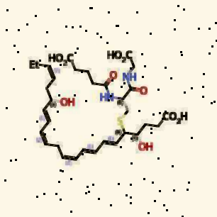 CC/C=C\C[C@H](O)/C=C/C=C\C\C=C/C=C/C=C/[C@@H](SC[C@H](NC(=O)CCCC(=O)O)C(=O)NCC(=O)O)[C@@H](O)CCC(=O)O